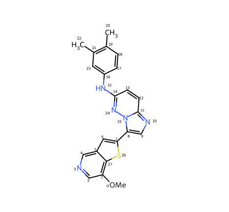 COc1cncc2cc(-c3cnc4ccc(Nc5ccc(C)c(C)c5)nn34)sc12